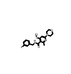 CCSc1cc(N2CCOCC2)nc(C)c1C(=O)NCc1cccc(F)c1